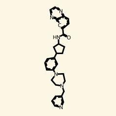 O=C(NC1CCC(c2cccc(N3CCN(Cc4cccnc4)CC3)c2)C1)c1ccc2nccnc2c1